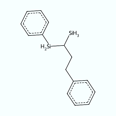 [SiH3]C(CCc1ccccc1)[SiH2]c1ccccc1